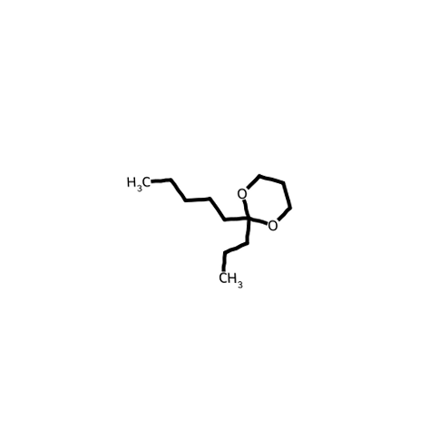 CCCCCC1(CCC)OCCCO1